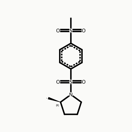 [CH2][C@@H]1CCCN1S(=O)(=O)c1ccc(S(C)(=O)=O)cc1